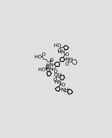 O=C(O)CCCC(=O)Nc1ccccc1C(=O)Nc1ccccc1C(=O)O.O=C(O)c1ccccc1NC(=O)c1ccccc1NC(=O)C1CCCCC1.O=C(O)c1ccccc1NC(=O)c1ccccc1NCc1ccccc1